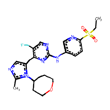 CCS(=O)(=O)c1ccc(Nc2ncc(F)c(-c3cnc(C)n3C3CCOCC3)n2)cn1